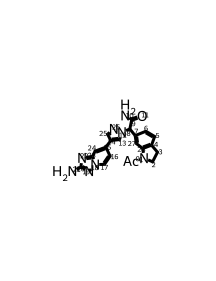 CC(=O)N1CCc2ccc(C(C(N)=O)n3cc(-c4ccn5nc(N)nc5c4)cn3)cc21